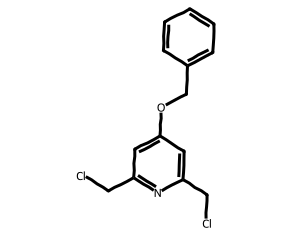 ClCc1cc(OCc2ccccc2)cc(CCl)n1